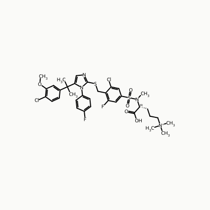 COc1cc(C(C)(C)c2cnc(SCc3c(F)cc(S(=O)(=O)N(C)[C@H](CCC[N+](C)(C)C)C(=O)O)cc3Cl)n2-c2ccc(F)cc2)ccc1Cl